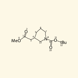 COC(=O)CC1CCCN(C(=O)OC(C)(C)C)C1